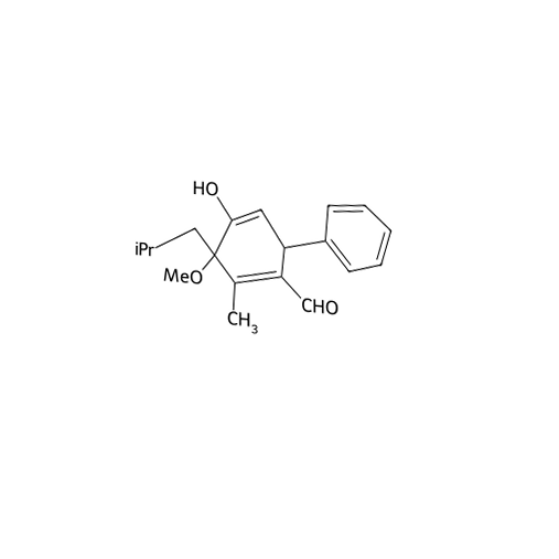 COC1(CC(C)C)C(O)=CC(c2ccccc2)C(C=O)=C1C